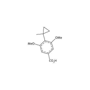 COc1cc(C(=O)O)cc(OC)c1C1(C)CC1